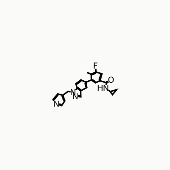 Cc1c(F)cc(C(=O)NC2CC2)cc1-c1ccc2c(cnn2Cc2ccncc2)c1